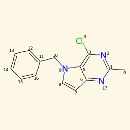 Cc1nc(Cl)c2c(ccn2Cc2ccccc2)n1